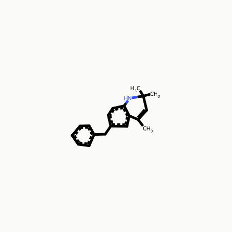 CC1=CC(C)(C)Nc2ccc(Cc3ccccc3)cc21